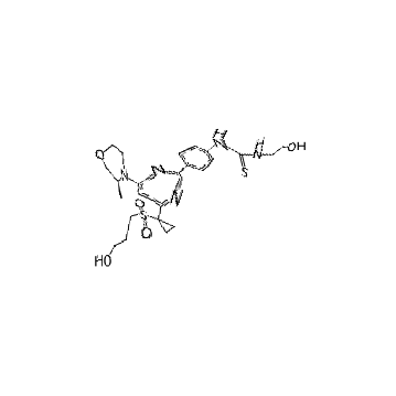 C[C@H]1COCCN1c1cc(C2(S(=O)(=O)CCCO)CC2)nc(-c2ccc(NC(=S)NCCO)cc2)n1